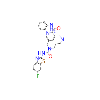 CN(C)CCCN(CC1=CN(c2ccccc2N)C([C]=O)C=C1)C(=O)Nc1nc2ccc(F)cc2s1